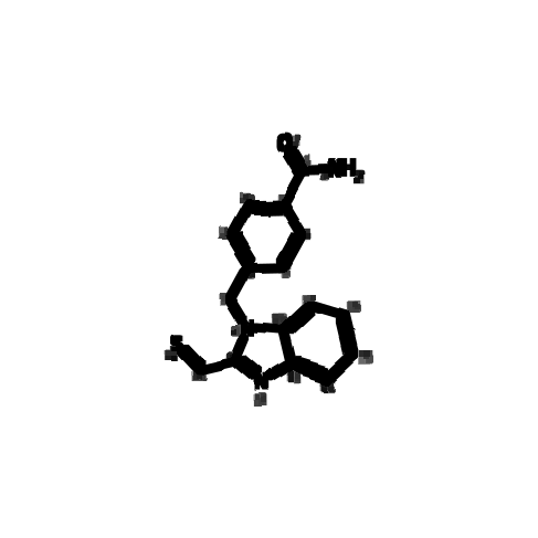 NC(=O)c1ccc(Cn2c(C=S)nc3ccccc32)cc1